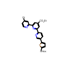 CCCCCCc1ccc(-c2ccc(-c3cc(C(=O)OCC)cc(-c4cc(CC)ccn4)n3)nc2)s1